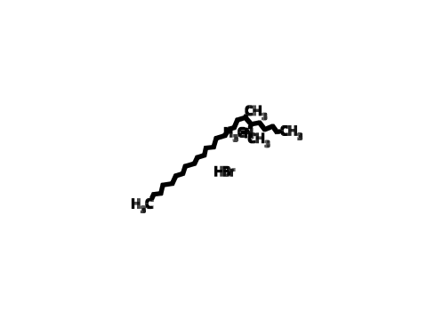 Br.CCCCCCCCCCCCCCCCCCC(C)C(CCCCC)N(C)C